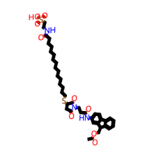 CC(=O)OCC1c2ccccc2-c2ccc(NC(=O)CCN3C(=O)CC(SCCCCCCCCCCCCCCCC(=O)NCCS(=O)(=O)O)C3=O)cc21